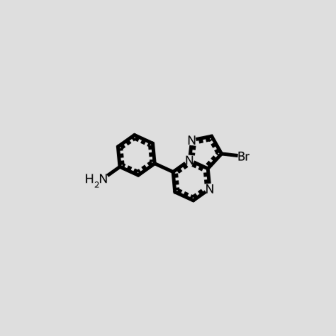 Nc1cccc(-c2ccnc3c(Br)cnn23)c1